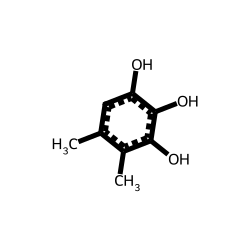 Cc1cc(O)c(O)c(O)c1C